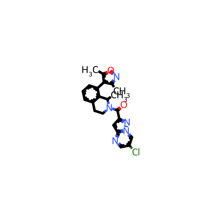 Cc1noc(C)c1-c1cccc2c1C(C)N(C(=O)c1cc3ncc(Cl)cn3n1)CC2